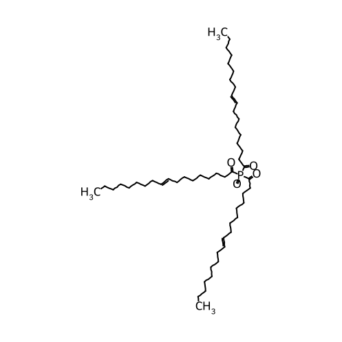 CCCCCCCCC=CCCCCCCCC(=O)P(=O)(C(=O)CCCCCCCC=CCCCCCCCC)C(=O)CCCCCCCC=CCCCCCCCC